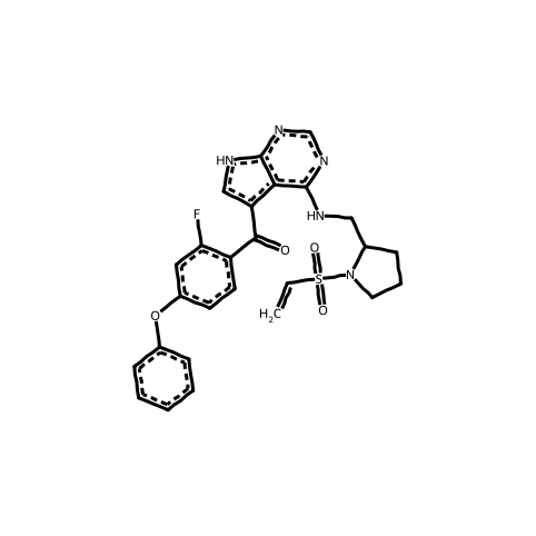 C=CS(=O)(=O)N1CCCC1CNc1ncnc2[nH]cc(C(=O)c3ccc(Oc4ccccc4)cc3F)c12